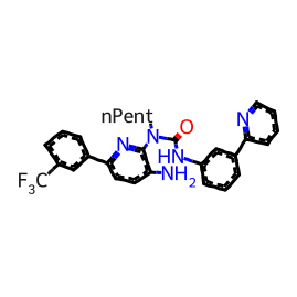 CCCCCN(C(=O)Nc1cccc(-c2ccccn2)c1)c1nc(-c2cccc(C(F)(F)F)c2)ccc1N